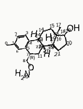 Cc1ccc2c(c1)[C@H](CON)C[C@@H]1[C@@H]2CC[C@]2(C)C(O)CC[C@@H]12